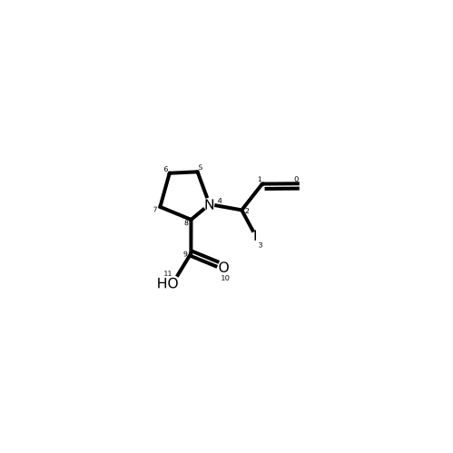 C=CC(I)N1CCCC1C(=O)O